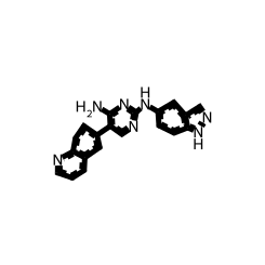 Nc1nc(Nc2ccc3[nH]ncc3c2)ncc1-c1ccc2ncccc2c1